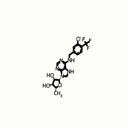 C[C@H]1O[C@@H](N2CNc3c(NCc4ccc(C(F)(F)F)c(Cl)c4)ncnc32)[C@H](O)[C@@H]1O